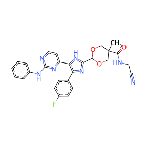 CC1(C(=O)NCC#N)COC(c2nc(-c3ccc(F)cc3)c(-c3ccnc(Nc4ccccc4)n3)[nH]2)OC1